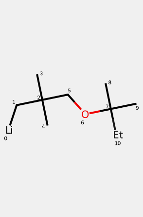 [Li][CH2]C(C)(C)COC(C)(C)CC